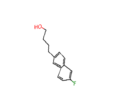 OCCCCc1ccc2cc(F)ccc2c1